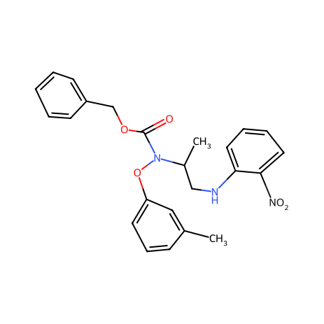 Cc1cccc(ON(C(=O)OCc2ccccc2)C(C)CNc2ccccc2[N+](=O)[O-])c1